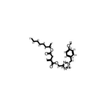 C=C(CC(=O)OC(C)CCCCCC)C(=O)OCc1nnn(Cc2ccc(OC)cc2)n1